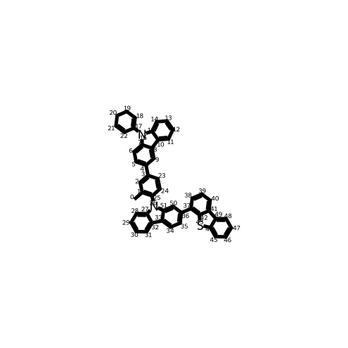 Cc1cc(-c2ccc3c(c2)c2ccccc2n3C2=CCCC=C2)ccc1-n1c2ccccc2c2ccc(-c3cccc4c3sc3ccccc34)cc21